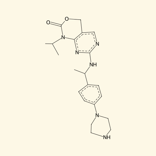 CC(Nc1ncc2c(n1)N(C(C)C)C(=O)OC2)c1ccc(N2CCNCC2)cc1